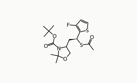 CC(=O)S[C@@H](CC1COC(C)(C)N1C(=O)OC(C)(C)C)c1sccc1F